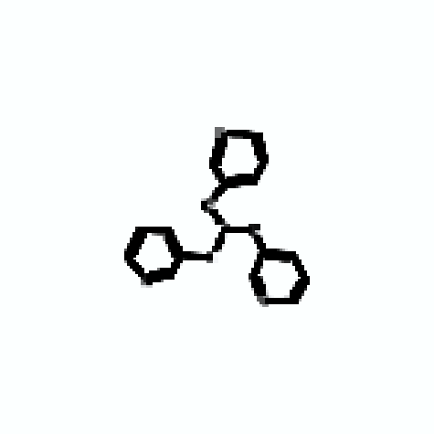 c1cncc(OP(Oc2cccnc2)Oc2cccnc2)c1